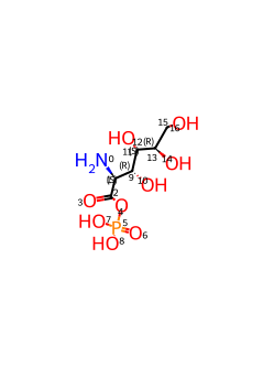 N[C@H](C(=O)OP(=O)(O)O)[C@@H](O)[C@H](O)[C@H](O)CO